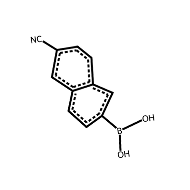 N#Cc1ccc2cc(B(O)O)ccc2c1